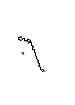 Br.CCCCCCCCCCCCCCCCCC1SCC(CCN2CCCC2)S1